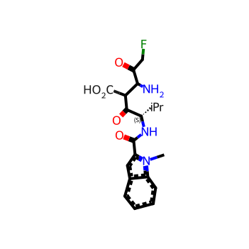 CC(C)[C@H](NC(=O)c1cc2ccccc2n1C)C(=O)C(C(=O)O)C(N)C(=O)CF